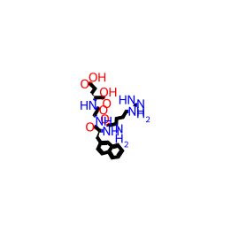 N=C(N)NCCC[C@H](N)C(=O)N[C@@H](Cc1ccc2ccccc2c1)C(=O)NCC(=O)N[C@H](CCC(=O)O)C(=O)O